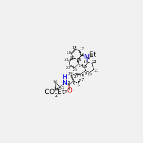 CCOC(=O)C1(NC(=O)c2ccc(C3CCCC(N(CC)c4cccc5ccccc45)C3)cc2)CC1